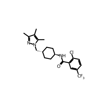 Cc1nn(C[C@H]2CC[C@H](NC(=O)c3cc(C(F)(F)F)ccc3Cl)CC2)c(C)c1C